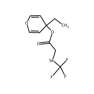 CCC1(OC(=O)C[Se]C(F)(F)F)C=COC=C1